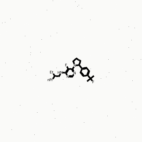 CCCC(CC)CNc1ncnc(N2CCCC2c2ccc(C(C)(C)F)cc2)c1F